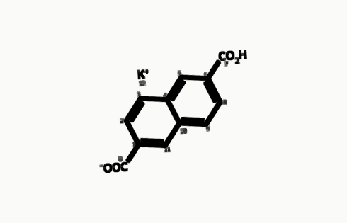 O=C([O-])c1ccc2cc(C(=O)O)ccc2c1.[K+]